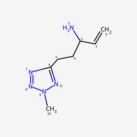 C=CC(N)CCc1nnn(C)n1